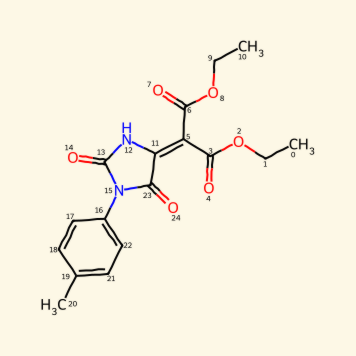 CCOC(=O)C(C(=O)OCC)=C1NC(=O)N(c2ccc(C)cc2)C1=O